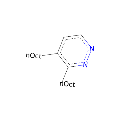 CCCCCCCCc1ccnnc1CCCCCCCC